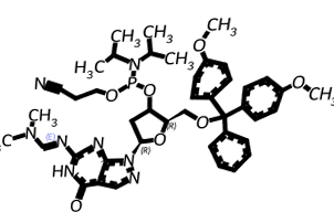 COc1ccc(C(OC[C@H]2O[C@@H](n3ncc4c(=O)[nH]c(/N=C/N(C)C)nc43)CC2OP(OCCC#N)N(C(C)C)C(C)C)(c2ccccc2)c2ccc(OC)cc2)cc1